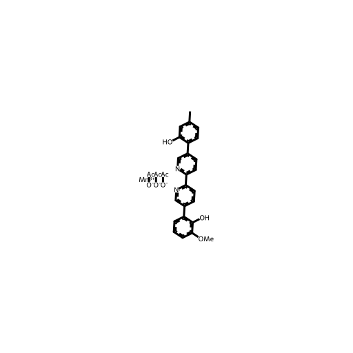 CC(=O)[O-].CC(=O)[O-].CC(=O)[O-].COc1cccc(-c2ccc(-c3ccc(-c4ccc(C)cc4O)cn3)nc2)c1O.[Mn+3]